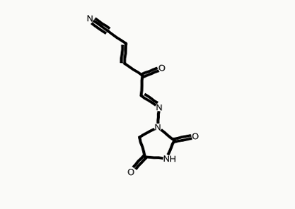 N#CC=CC(=O)C=NN1CC(=O)NC1=O